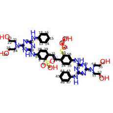 O=S(=O)(O)c1cc(Nc2nc(Nc3ccccc3)nc(N(CCO)CCO)n2)ccc1/C=C/c1ccc(Nc2nc(Nc3ccccc3)nc(N(CCO)CCO)n2)cc1SOOO